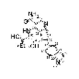 CC[C@@H](O)[C@@H](CO)Nc1c(C(N)=O)cnn2cc(-c3ccc4c(ccn4C)c3)cc12